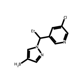 Bc1cnn(C(CC)c2cncc(Cl)c2)c1